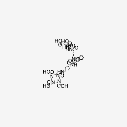 O=C(O)CC[C@H](NC(=O)NC(CCCCNC(=O)[C@H](Cc1ccc2ccccc2c1)NC(=O)[C@H]1CC[C@H](CNC(=O)CN2CCN(CC(=O)O)CCN(CC(=O)O)CCN(CC(=O)O)CC2)CC1)C(=O)O)C(=O)O